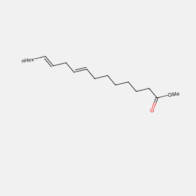 CCCCCCC=CCC=CCCCCCCC(=O)OC